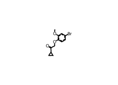 COc1cc(Br)ccc1OCC(=O)C1CC1